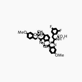 COc1ccc(CN(c2nn(C)c3c(-n4c(C(Cc5cc(F)cc(F)c5)NC(=O)O)nc5cc(OC)ccc5c4=O)ccc(Cl)c23)S(C)(=O)=O)cc1